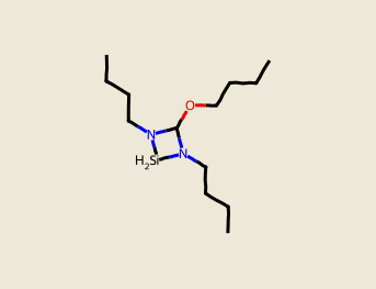 CCCCOC1N(CCCC)[SiH2]N1CCCC